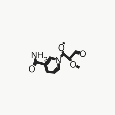 COC(C=O)C(OC)N1C=CCC(C(N)=O)=C1